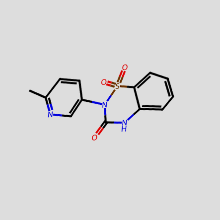 Cc1ccc(N2C(=O)Nc3ccccc3S2(=O)=O)cn1